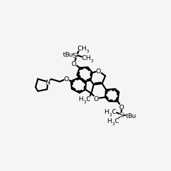 CC1(c2ccc(OCCN3CCCC3)cc2)Oc2cc(O[Si](C)(C)C(C)(C)C)ccc2C2=C1c1ccc(O[Si](C)(C)C(C)(C)C)cc1OC2